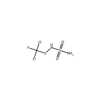 NS(=O)(=O)NSC(F)(Cl)Cl